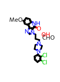 COc1ccc2[nH]c(=O)c3c(ncn3CCCN3CCN(c4cccc(Cl)c4Cl)CC3)c2c1.O=CO